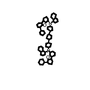 c1ccc(-c2cccc3c2oc2c(N(c4ccc(-c5ccc(-c6ccc(N(c7cccc8ccccc78)c7cccc8c7oc7c(-c9ccccc9)cccc78)cc6)cc5)cc4)c4cccc5ccccc45)cccc23)cc1